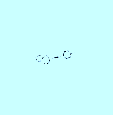 Clc1ccc(C#Cc2ccn3nccc3n2)cc1